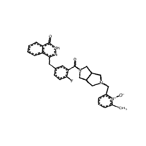 Cc1cccc(CN2CC3CN(C(=O)c4cc(Cc5n[nH]c(=O)c6ccccc56)ccc4F)CC3C2)[n+]1[O-]